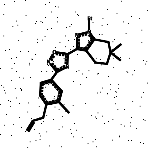 C=CCc1ccc(-c2noc(-c3nn(CC)c4c3CCC(C)(C)C4)n2)cc1C